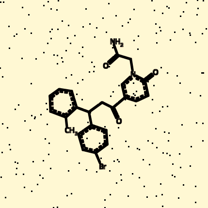 Cc1ccccc1C(CC(=O)c1ccc(=O)n(CC(N)=O)c1)c1ccc(Br)cc1